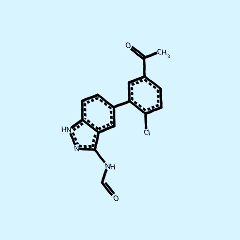 CC(=O)c1ccc(Cl)c(-c2ccc3[nH]nc(NC=O)c3c2)c1